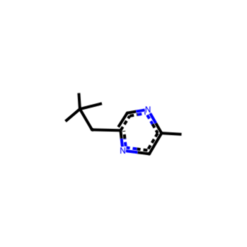 Cc1cnc(CC(C)(C)C)cn1